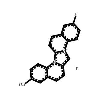 CC(C)(C)c1ccc2c(ccc3c[n+]4c5ccc(F)cc5ccc4n32)c1.[I-]